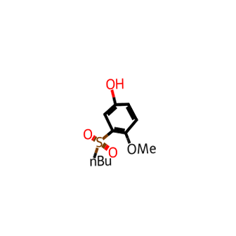 CCCCS(=O)(=O)c1cc(O)ccc1OC